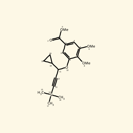 COC(=O)c1cc(OC)c(OC)c(OC(C#C[Si](C)(C)C)C2CC2)c1